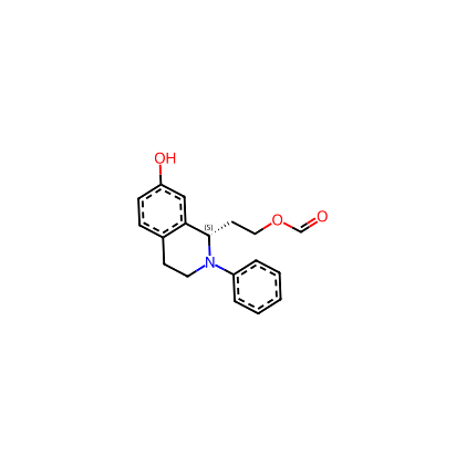 O=COCC[C@H]1c2cc(O)ccc2CCN1c1ccccc1